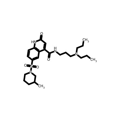 CCCN(CCC)CCCNC(=O)c1cc(=O)[nH]c2ccc(S(=O)(=O)N3CCCC(C)C3)cc12